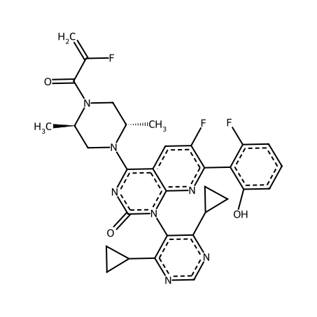 C=C(F)C(=O)N1C[C@H](C)N(c2nc(=O)n(-c3c(C4CC4)ncnc3C3CC3)c3nc(-c4c(O)cccc4F)c(F)cc23)C[C@H]1C